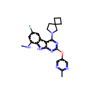 CNc1cc(F)cc2c1[nH]c1nc(Oc3cnc(C)nc3)nc(N3CCC4(CCC4)C3)c12